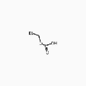 CCCO[P](=O)O